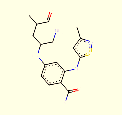 Cc1cc(Nc2cc(NC(CN)CC(C)C=O)ccc2C(N)=O)sn1